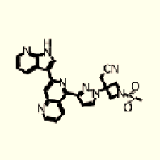 CS(=O)(=O)N1CC(CC#N)(n2ccc(-c3nc(-c4c[nH]c5ncccc45)cc4ncccc34)n2)C1